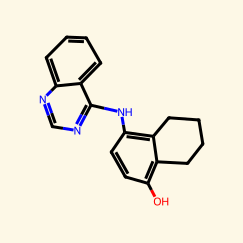 Oc1ccc(Nc2ncnc3ccccc23)c2c1CCCC2